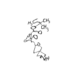 CC(C)(C)OC(=O)NS(=O)(=O)CC1CC2(CNC2)CO1